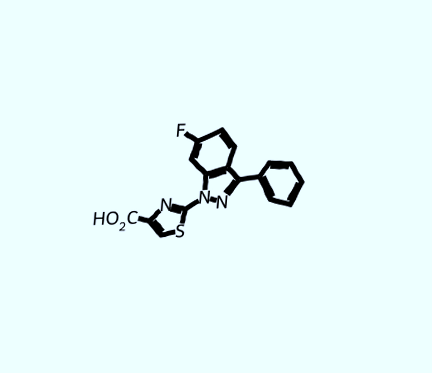 O=C(O)c1csc(-n2nc(-c3ccccc3)c3ccc(F)cc32)n1